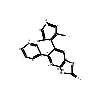 O=c1[nH]c2cc(-c3c(F)cncc3F)c(-c3cccnc3)nc2[nH]1